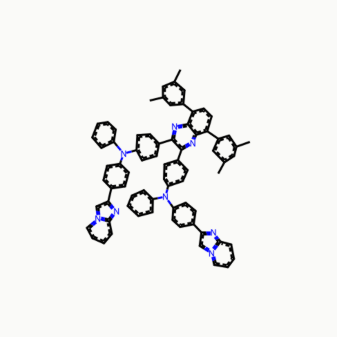 Cc1cc(C)cc(-c2ccc(-c3cc(C)cc(C)c3)c3nc(-c4ccc(N(c5ccccc5)c5ccc(-c6cn7ccccc7n6)cc5)cc4)c(-c4ccc(N(c5ccccc5)c5ccc(-c6cn7ccccc7n6)cc5)cc4)nc23)c1